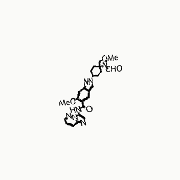 COCC1(N(C)C=O)CCC(n2cc3cc(C(=O)Nc4cnc5cccnn45)c(OC)cc3n2)CC1